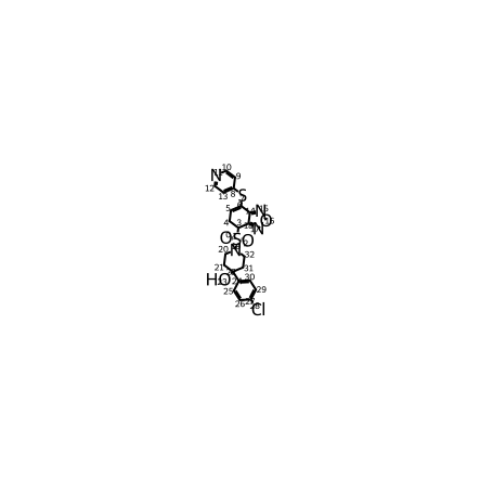 O=S(=O)(C1CC=C(Sc2ccncc2)c2nonc21)N1CCC(O)(c2ccc(Cl)cc2)CC1